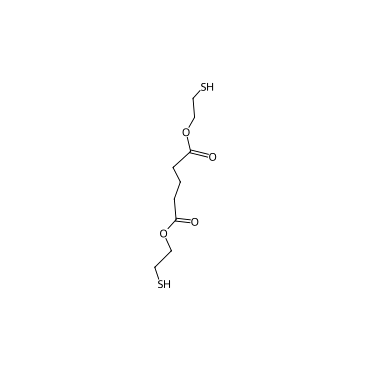 O=C(CCCC(=O)OCCS)OCCS